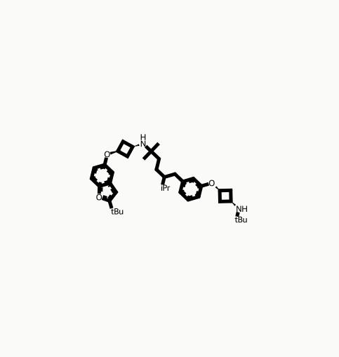 CC(C)C(CCC(C)(C)N[C@H]1C[C@H](Oc2ccc3oc(C(C)(C)C)cc3c2)C1)Cc1cccc(O[C@H]2C[C@@H](NC(C)(C)C)C2)c1